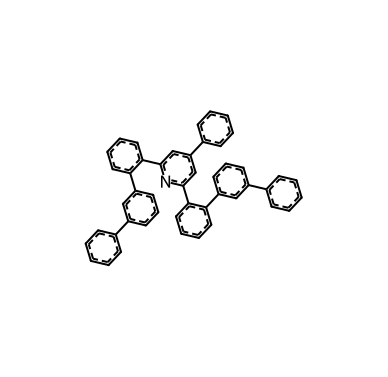 c1ccc(-c2cccc(-c3ccccc3-c3cc(-c4ccccc4)cc(-c4ccccc4-c4cccc(-c5ccccc5)c4)n3)c2)cc1